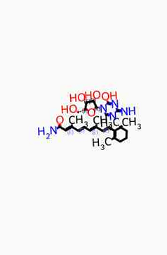 CC1=C(/C=C/C(C)=C/C=C/C(C)=C/C(N)=O)C(C)(C)CCC1.N=c1ncn([C@@H]2O[C@H](CO)[C@@H](O)[C@@H]2O)c(O)n1